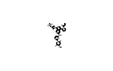 C=CC(=O)N1CCCC1c1cnc(N2C[C@H](CS(C)(=O)=O)[C@H]2C)c2cnc(Nc3ccnc(N4C[C@H](F)[C@H](OC)C[C@@H]4C)n3)cc12